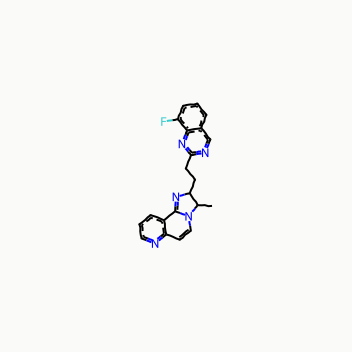 CC1C(CCc2ncc3cccc(F)c3n2)N=C2c3cccnc3C=CN21